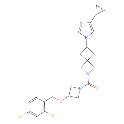 O=C(N1CC(OCc2ccc(F)cc2F)C1)N1CC2(CC(n3cnc(C4CC4)c3)C2)C1